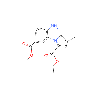 CCOC(=O)c1cc(C)cn1-c1cc(C(=O)OC)ccc1N